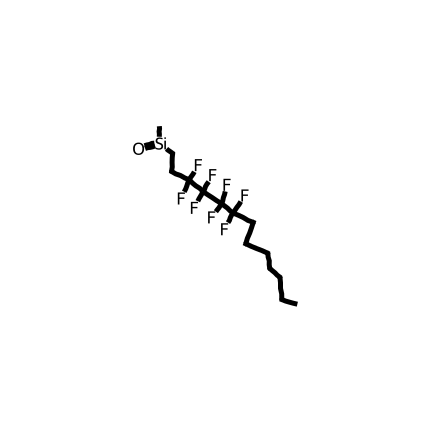 CCCCCCCC(F)(F)C(F)(F)C(F)(F)C(F)(F)CC[Si](C)=O